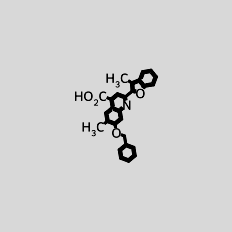 Cc1cc2c(C(=O)O)cc(-c3oc4ccccc4c3C)nc2cc1OCc1ccccc1